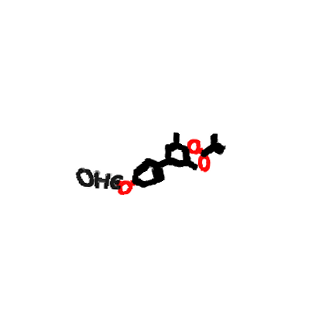 C=C(C)C(=O)Oc1c(C)cc(-c2ccc(OC=O)cc2)cc1C